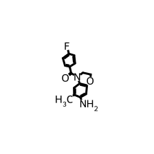 Cc1cc2c(cc1N)OCCN2C(=O)c1ccc(F)cc1